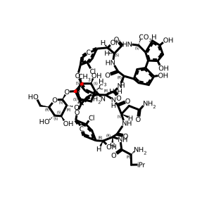 CC(C)C[C@@H](N)C(=O)N[C@H]1C(=O)N[C@@H](CC(N)=O)C(=O)N[C@H]2C(=O)N[C@H]3C(=O)N[C@H](C(=O)N[C@H](C(=O)O)c4cc(O)cc(O)c4-c4cc3ccc4O)[C@H](O)c3ccc(c(Cl)c3)Oc3cc2cc(c3O[C@@H]2O[C@H](CO)[C@@H](O)[C@H](O)[C@H]2O[C@H]2C[C@](C)(N)[C@H](O)[C@H](C)O2)Oc2ccc(cc2Cl)[C@H]1O